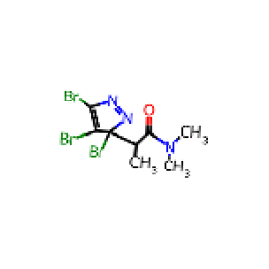 CC(C(=O)N(C)C)C1(Br)N=NC(Br)=C1Br